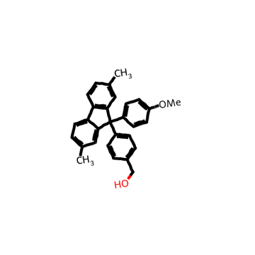 COc1ccc(C2(c3ccc(CO)cc3)c3cc(C)ccc3-c3ccc(C)cc32)cc1